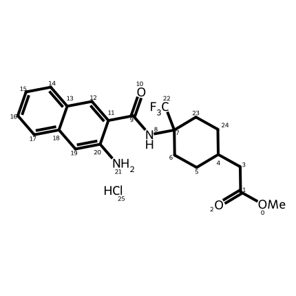 COC(=O)CC1CCC(NC(=O)c2cc3ccccc3cc2N)(C(F)(F)F)CC1.Cl